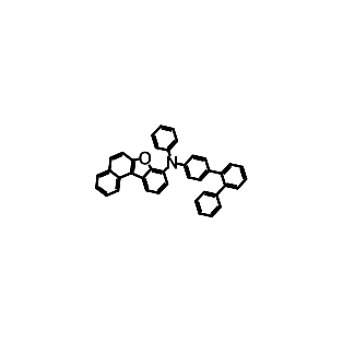 c1ccc(-c2ccccc2-c2ccc(N(c3ccccc3)c3cccc4c3oc3ccc5ccccc5c34)cc2)cc1